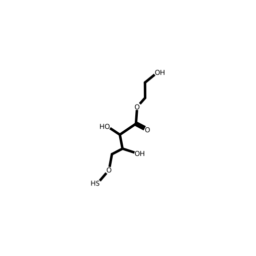 O=C(OCCO)C(O)C(O)COS